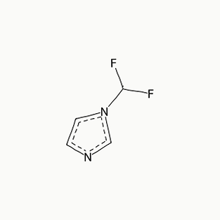 F[C](F)n1ccnc1